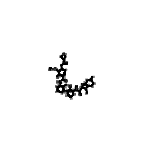 COc1c(CNC2COC2)cnc(C(=O)Nc2cccc(-c3cccc(NC(=O)c4nc5c(n4C)CCN(C)C5)c3Cl)c2C)c1C